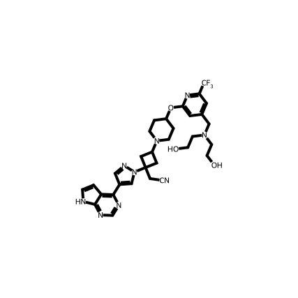 N#CCC1(n2cc(-c3ncnc4[nH]ccc34)cn2)CC(N2CCC(Oc3cc(CN(CCO)CCO)cc(C(F)(F)F)n3)CC2)C1